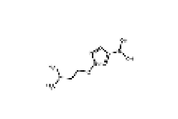 CN(C)CCOn1cc(B(O)O)cn1